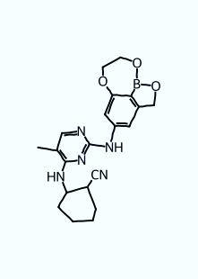 Cc1cnc(Nc2cc3c4c(c2)OCCOB4OC3)nc1NC1CCCCC1C#N